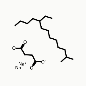 CCCCC(CC)CCCCCCC(C)C.O=C([O-])CCC(=O)[O-].[Na+].[Na+]